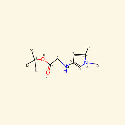 Cc1cc(NCC(=O)OC(C)(C)C)cn1C